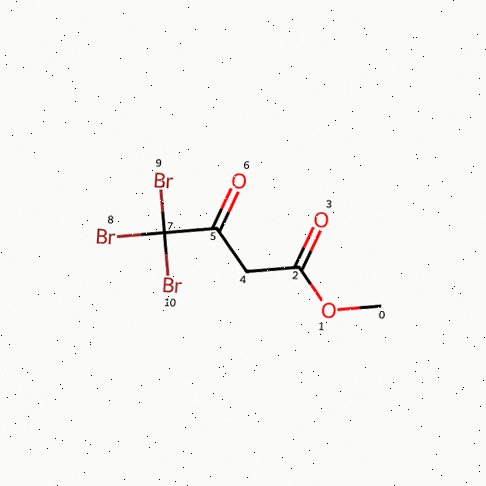 COC(=O)CC(=O)C(Br)(Br)Br